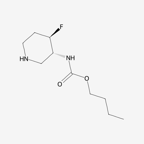 CCCCOC(=O)N[C@@H]1CNCC[C@H]1F